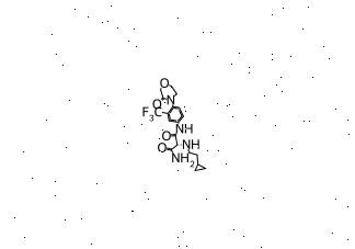 NC(=O)[C@@H](NCCC1CC1)C(=O)Nc1ccc(N2CCOCC2=O)c(C(F)(F)F)c1